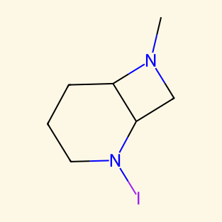 CN1CC2C1CCCN2I